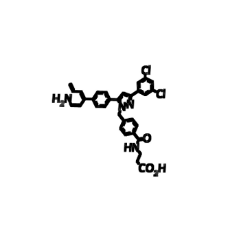 C=C/C=C(\C=C/N)c1ccc(-c2cc(-c3cc(Cl)cc(Cl)c3)nn2Cc2ccc(C(=O)NCCC(=O)O)cc2)cc1